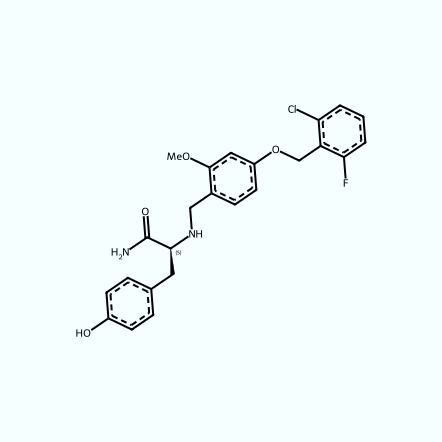 COc1cc(OCc2c(F)cccc2Cl)ccc1CN[C@@H](Cc1ccc(O)cc1)C(N)=O